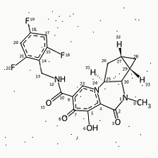 CN1C(=O)c2c(O)c(=O)c(C(=O)NCc3c(F)cc(F)cc3F)cn2[C@H]2C[C@@H]3C[C@@H]3C21